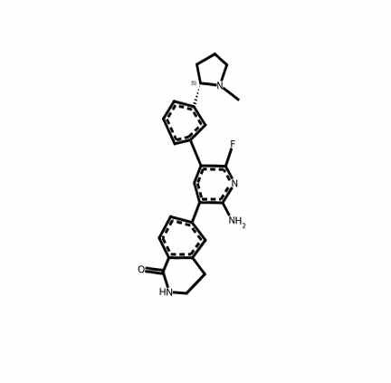 CN1CCC[C@H]1c1cccc(-c2cc(-c3ccc4c(c3)CCNC4=O)c(N)nc2F)c1